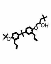 C=CCc1cc(C(C)(C)c2ccc(OC(C)(C)C)c(CC=C)c2)ccc1OCC(O)CC(C)(C)C